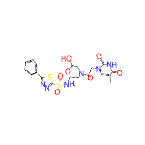 Cc1cn(CC(=O)N(CCNS(=O)(=O)c2nnc(-c3ccccc3)s2)CC(=O)O)c(=O)[nH]c1=O